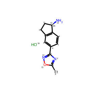 CCc1nc(-c2ccc3c(c2)CC[C@H]3N)no1.Cl